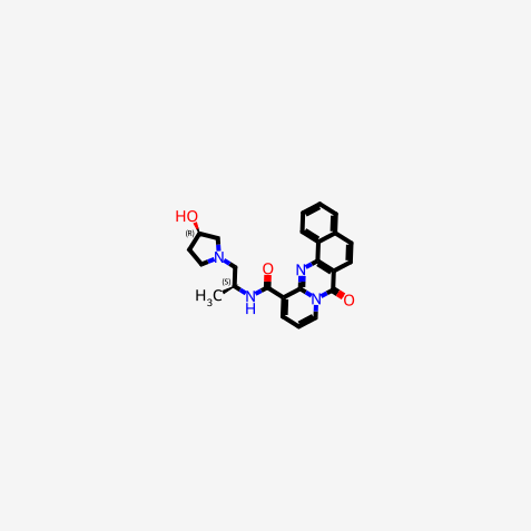 C[C@@H](CN1CC[C@@H](O)C1)NC(=O)c1cccn2c(=O)c3ccc4ccccc4c3nc12